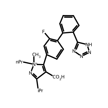 CCC[N+]1(C)N=C(C(C)C)C(C(=O)O)=C1c1ccc(-c2ccccc2-c2nnn[nH]2)c(F)c1